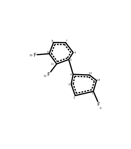 Fc1ccc(-c2cc[c]c(F)c2F)cc1